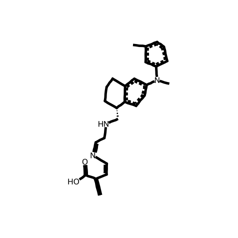 C=C(/C=C\N=C/CNC[C@@H]1CCCc2cc(N(C)c3cccc(C)c3)ccc21)C(=O)O